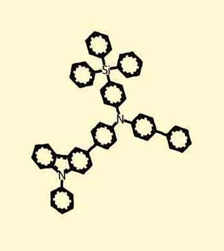 c1ccc(-c2ccc(N(c3ccc(-c4ccc5c(c4)c4ccccc4n5-c4ccccc4)cc3)c3ccc([Si](c4ccccc4)(c4ccccc4)c4ccccc4)cc3)cc2)cc1